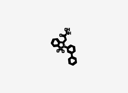 O=C(CC1c2ccccc2S(=O)(=O)N1c1cccc(-c2ccccc2)c1)NO